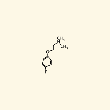 CN(C)CCOc1ccc(F)cc1